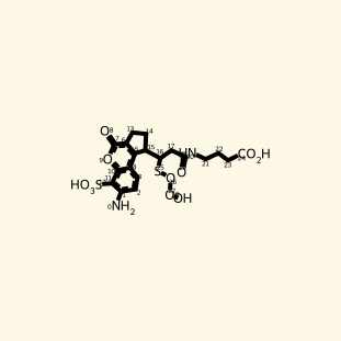 Nc1ccc2c3c(c(=O)oc2c1S(=O)(=O)O)CCC3C(CC(=O)NCCCC(=O)O)SOOO